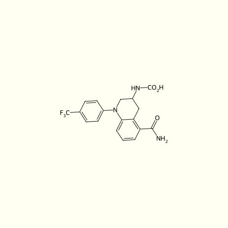 NC(=O)c1cccc2c1CC(NC(=O)O)CN2c1ccc(C(F)(F)F)cc1